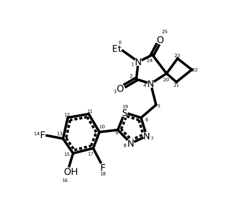 CCN1C(=O)N(Cc2nnc(-c3ccc(F)c(O)c3F)s2)C2(CCC2)C1=O